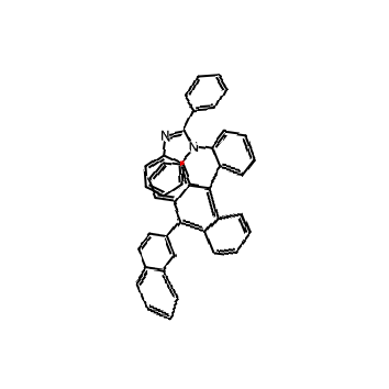 c1ccc(-c2nc3ccccc3n2-c2ccccc2-c2c3ccccc3c(-c3ccc4ccccc4c3)c3ccccc23)cc1